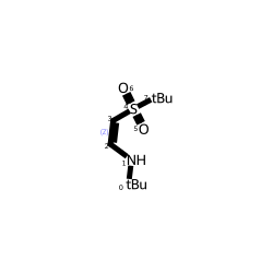 CC(C)(C)N/C=C\S(=O)(=O)C(C)(C)C